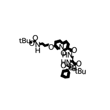 CC(C)(C)OC(=O)NCCCOc1ccc2ccc(C(=O)NC[C@H](NS(=O)(=O)c3ccccc3)C(=O)OC(C)(C)C)c(=O)n2c1